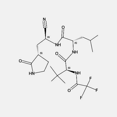 CC(C)C[C@H](NC(=O)[C@@H](NC(=O)C(F)(F)F)C(C)(C)C)C(=O)N[C@H](C#N)C[C@@H]1CCNC1=O